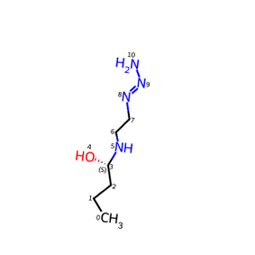 CCC[C@H](O)NCCN=NN